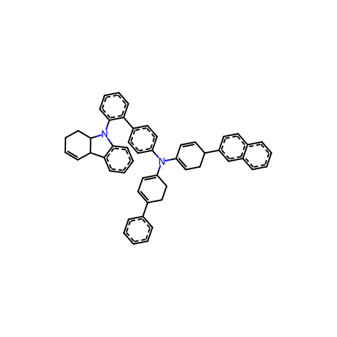 C1=CC2c3ccccc3N(c3ccccc3-c3ccc(N(C4=CCC(c5ccc6ccccc6c5)C=C4)C4=CC=C(c5ccccc5)CC4)cc3)C2CC1